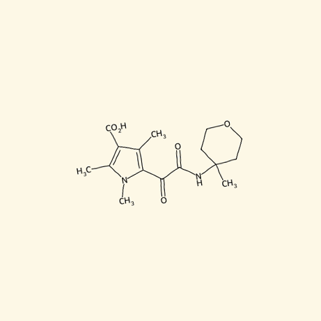 Cc1c(C(=O)O)c(C)n(C)c1C(=O)C(=O)NC1(C)CCOCC1